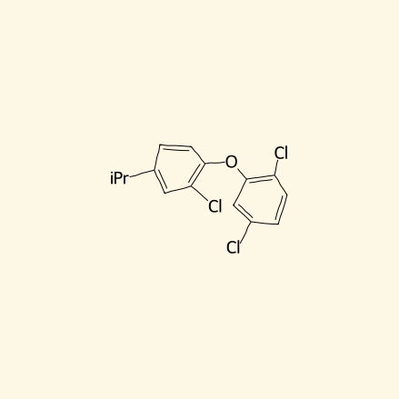 CC(C)c1ccc(Oc2cc(Cl)ccc2Cl)c(Cl)c1